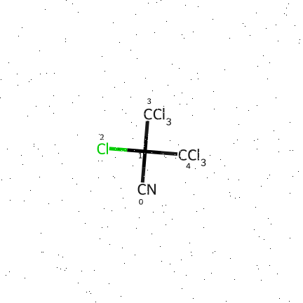 N#CC(Cl)(C(Cl)(Cl)Cl)C(Cl)(Cl)Cl